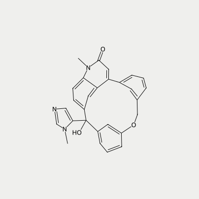 Cn1cncc1C1(O)c2cccc(c2)OCc2cccc(c2)-c2cc(=O)n(C)c3ccc1cc23